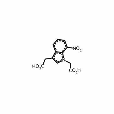 O=C(O)Cc1cn(CC(=O)O)c2c([N+](=O)[O-])cccc12